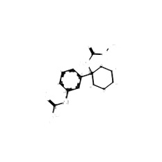 CC(C)(C)OC(=O)NC1(c2cccc(NC(N)=S)c2)CCCCC1